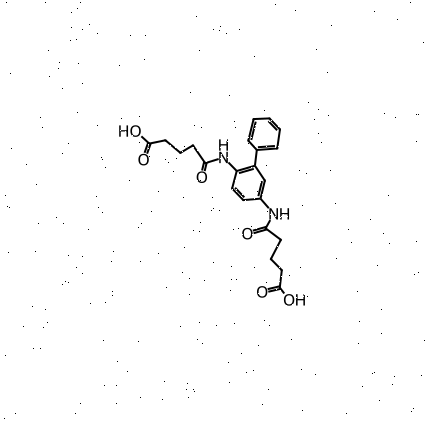 O=C(O)CCCC(=O)Nc1ccc(NC(=O)CCCC(=O)O)c(-c2ccccc2)c1